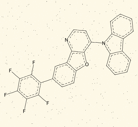 Fc1c(F)c(F)c(-c2ccc3oc4c(-n5c6ccccc6c6ccccc65)ccnc4c3c2)c(F)c1F